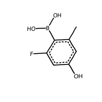 Cc1cc(O)cc(F)c1B(O)O